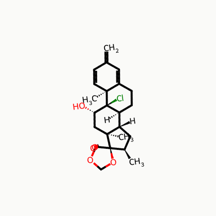 C=C1C=C[C@@]2(C)C(=C1)CC[C@H]1[C@@H]3C[C@@H](C)[C@@]4(OCOC45COCO5)[C@@]3(C)C[C@H](O)[C@@]12Cl